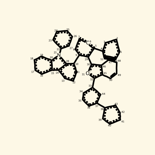 c1cccc(-c2cccc(-c3cccc4c5ccccc5n(-c5ccccc5)c34)c2-c2oc(-c3cccc(-c4ccccc4)c3)c3c2CCC=C3)c#1